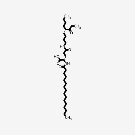 CCCCCCCCCCCCCCCC(=O)N[C@@H](CCC(=O)NCCCC[C@H](CCCC)C(=O)CC)C(=O)O